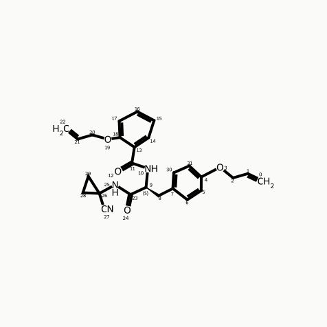 C=CCOc1ccc(C[C@H](NC(=O)c2ccccc2OCC=C)C(=O)NC2(C#N)CC2)cc1